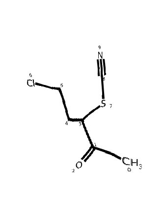 CC(=O)C(CCCl)SC#N